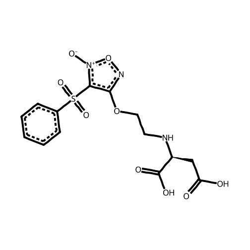 O=C(O)C[C@H](NCCOc1no[n+]([O-])c1S(=O)(=O)c1ccccc1)C(=O)O